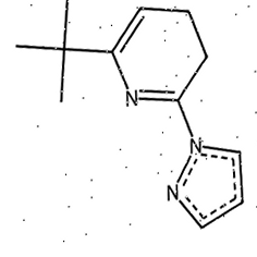 CC(C)(C)C1=CCCC(n2cccn2)=N1